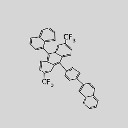 FC(F)(F)c1ccc2c(-c3cccc4ccccc34)c3cc(C(F)(F)F)ccc3c(-c3ccc(-c4ccc5ccccc5c4)cc3)c2c1